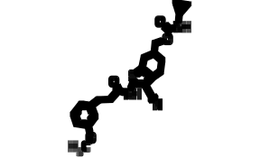 COc1cccc(CCC(=O)Nc2sc3c(c2C#N)CCC(COC(=O)NC2CC2)C3)c1